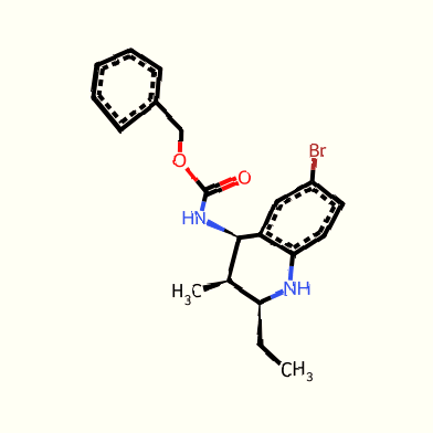 CC[C@@H]1Nc2ccc(Br)cc2[C@H](NC(=O)OCc2ccccc2)[C@@H]1C